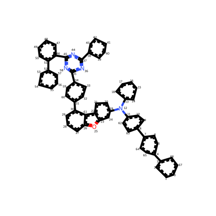 c1ccc(-c2ccc(-c3ccc(N(c4ccccc4)c4ccc5c(c4)oc4cccc(-c6ccc(-c7nc(-c8ccccc8)nc(-c8ccccc8-c8ccccc8)n7)cc6)c45)cc3)cc2)cc1